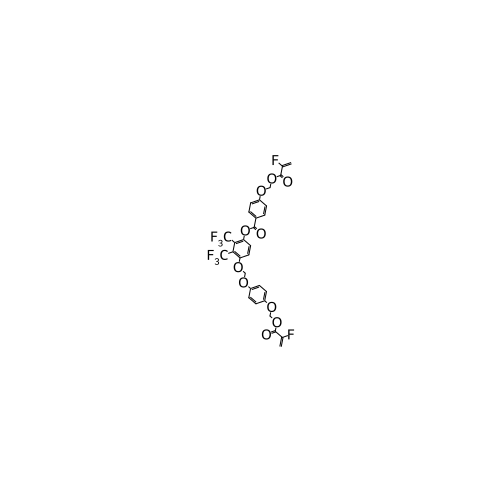 C=C(F)C(=O)OCOc1ccc(OCOc2ccc(OC(=O)c3ccc(OCOC(=O)C(=C)F)cc3)c(C(F)(F)F)c2C(F)(F)F)cc1